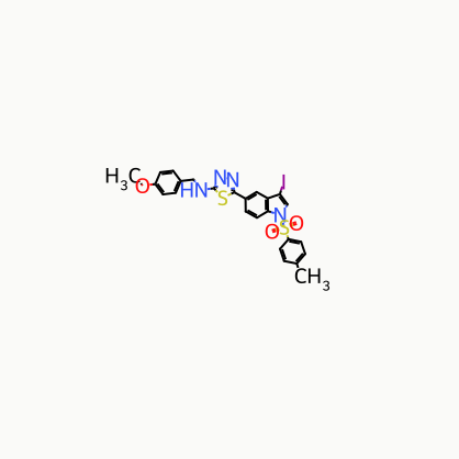 COc1ccc(CNc2nnc(-c3ccc4c(c3)c(I)cn4S(=O)(=O)c3ccc(C)cc3)s2)cc1